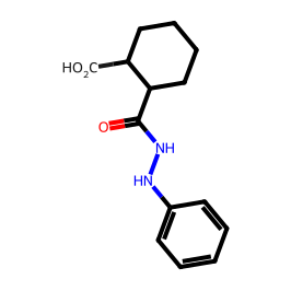 O=C(O)C1CCCCC1C(=O)NNc1ccccc1